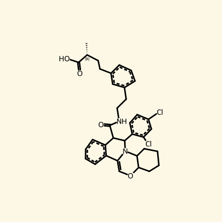 C[C@H](CCc1cccc(CCNC(=O)C2c3ccccc3C3=COC4CCCCC4N3C2c2ccc(Cl)cc2Cl)c1)C(=O)O